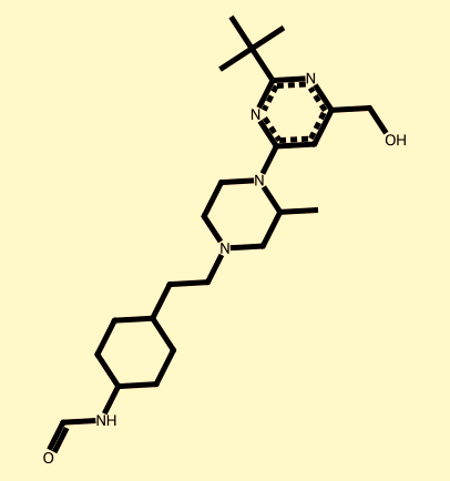 CC1CN(CCC2CCC(NC=O)CC2)CCN1c1cc(CO)nc(C(C)(C)C)n1